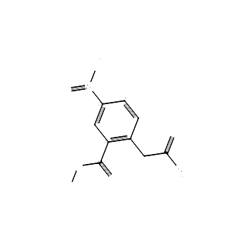 COC(=O)c1cc([N+](=O)[O-])ccc1CC(N)=O